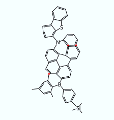 Cc1cc(C)c(B(c2ccc([Si](C)(C)C)cc2)c2ccc3c4ccccc4c4c(N(c5ccccc5)c5cccc6c5sc5ccccc56)ccc5ccc2c3c54)c(C)c1